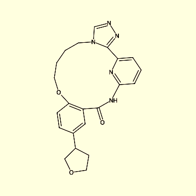 O=C1Nc2cccc(n2)-c2nncn2CCCCOc2ccc(C3CCOC3)cc21